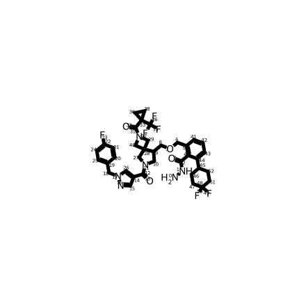 NNC(=O)c1c(COCC2CN(C(=O)c3cnn(Cc4ccc(F)cc4)c3)CC23CN(C(=O)C2(C(F)(F)F)CC2)C3)cccc1C1CCC(F)(F)CC1